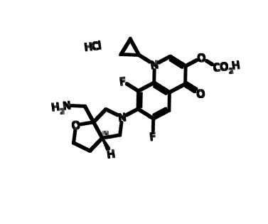 Cl.NCC12CN(c3c(F)cc4c(=O)c(OC(=O)O)cn(C5CC5)c4c3F)C[C@@H]1CCO2